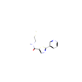 CSCCN(C)C(=O)c1cnc(-c2cccnc2)s1